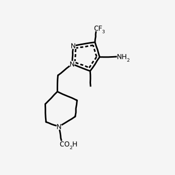 Cc1c(N)c(C(F)(F)F)nn1CC1CCN(C(=O)O)CC1